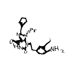 CCCn1c(C2CCCC2)nc2c(=O)[nH]c(=O)n(CCc3ccc(N)c(I)c3)c21